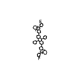 CC12CCCCC1(C)N(c1cccc(F)c1)c1ccc(-c3ccc4c(-c5ccccc5)c5cc(-c6ccc7c(c6)C6(C)CCCCC6(C)N7c6cccc(F)c6)ccc5c(-c5ccccc5)c4c3)cc12